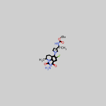 CC1CCc2c(N3CC[C@@H]([C@@H](C)NC(=O)OC(C)(C)C)C3)c(F)cc3c(=O)n(N)c(=O)n1c23